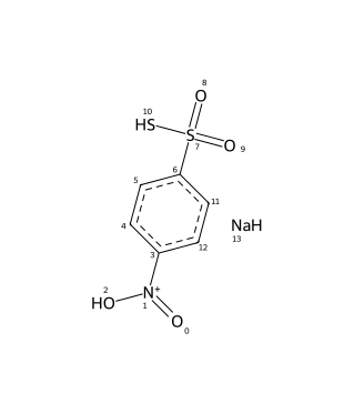 O=[N+](O)c1ccc(S(=O)(=O)S)cc1.[NaH]